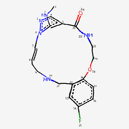 CNc1c2cnn1/C=C\CNCc1cc(F)ccc1OCCNC2=O